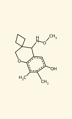 CONC1c2cc(O)c(C)c(C)c2OCC12CCC2